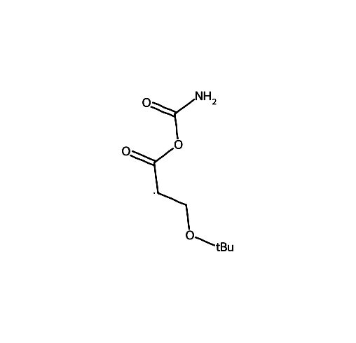 CC(C)(C)OC[CH]C(=O)OC(N)=O